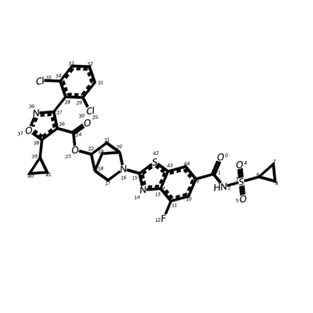 O=C(NS(=O)(=O)C1CC1)c1cc(F)c2nc(N3CC4CC3CC4OC(=O)c3c(-c4c(Cl)cccc4Cl)noc3C3CC3)sc2c1